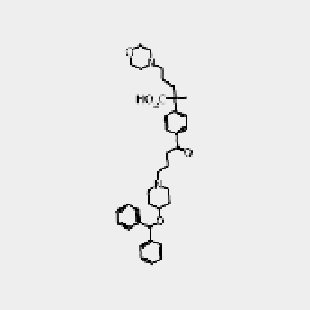 CC(CCCN1CCOCC1)(C(=O)O)c1ccc(C(=O)CCCN2CCC(OC(c3ccccc3)c3ccccc3)CC2)cc1